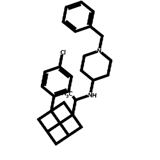 CC(NC1CCN(Cc2ccccc2)CC1)C12CC3CC4CC(c5ccc(Cl)cc5)(C1)C432